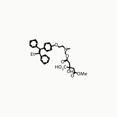 CC/C(=C(\c1ccccc1)c1ccc(OCCN(C)COC(=O)CC(O)(CC(=O)OC)C(=O)O)cc1)c1ccccc1